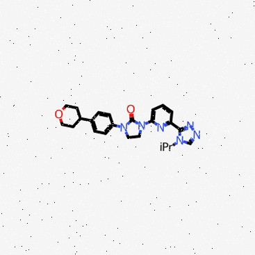 CC(C)n1cnnc1-c1cccc(N2CCN(c3ccc(C4CCOCC4)cc3)C2=O)n1